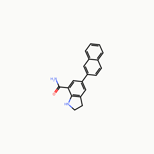 NC(=O)c1cc(-c2ccc3ccccc3c2)cc2c1NCC2